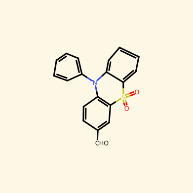 O=Cc1ccc2c(c1)S(=O)(=O)c1ccccc1N2c1ccccc1